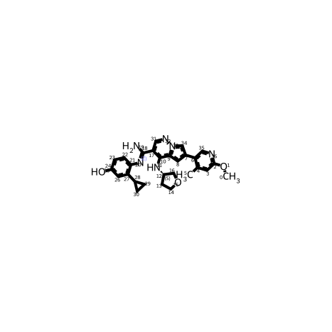 COc1cc(C)c(-c2cc3c(N[C@H]4CCOC4)c(/C(N)=N/c4ccc(O)cc4C4CC4)cnn3c2)cn1